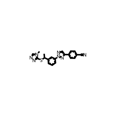 CC(Sc1nncn1C)c1cccc(-n2ncc(-c3ccc(C#N)cc3)n2)c1